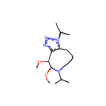 COC1c2nnn(C(C)C)c2CCCN(C(C)C)C1OC